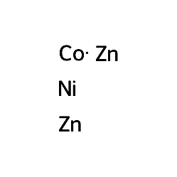 [Co].[Ni].[Zn].[Zn]